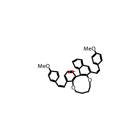 COc1ccc(/C=C\c2cc3ccccc3c3c2OCCCCOc2c(/C=C\c4ccc(OC)cc4)cc4ccccc4c2-3)cc1